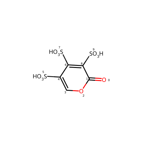 O=c1occ(S(=O)(=O)O)c(S(=O)(=O)O)c1S(=O)(=O)O